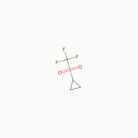 O=S(=O)(C1CC1)C(F)(F)F